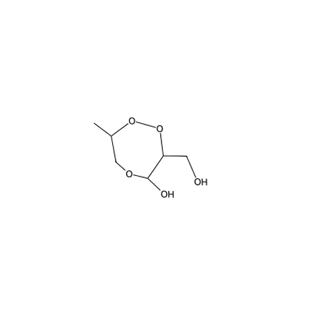 CC1COC(O)C(CO)OO1